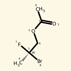 CC(=O)OC[C@](C)(F)Br